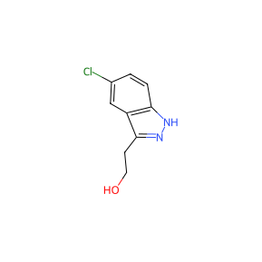 OCCc1n[nH]c2ccc(Cl)cc12